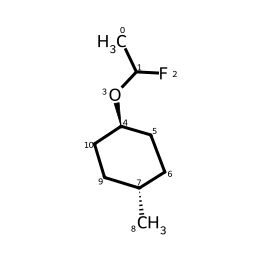 CC(F)O[C@H]1CC[C@H](C)CC1